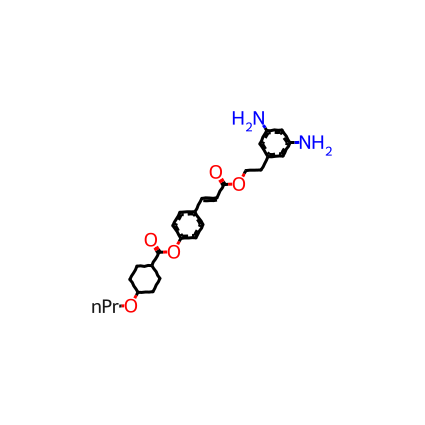 CCCOC1CCC(C(=O)Oc2ccc(/C=C/C(=O)OCCc3cc(N)cc(N)c3)cc2)CC1